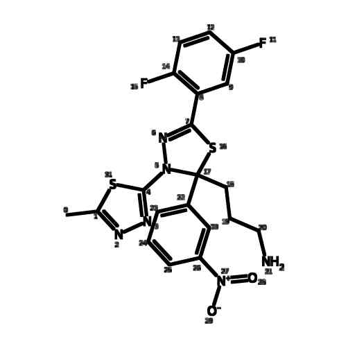 Cc1nnc(N2N=C(c3cc(F)ccc3F)SC2(CCCN)c2cccc([N+](=O)[O-])c2)s1